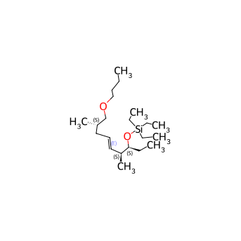 CCCCOC[C@@H](C)C/C=C/[C@H](C)[C@H](CC)O[Si](CC)(CC)CC